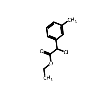 CCOC(=O)C(Cl)c1cccc(C)c1